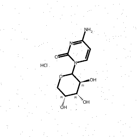 Cl.Nc1ccn(C2OC[C@@H](O)[C@@H](O)[C@@H]2O)c(=O)n1